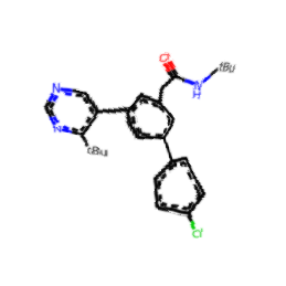 CC(C)(C)NC(=O)c1cc(-c2ccc(Cl)cc2)cc(-c2cncnc2C(C)(C)C)c1